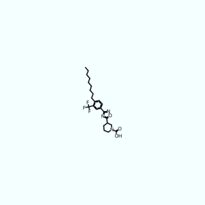 CCCCCCCCCc1ccc(-c2noc(C3CCCN(C(=O)O)C3)n2)cc1C(F)(F)F